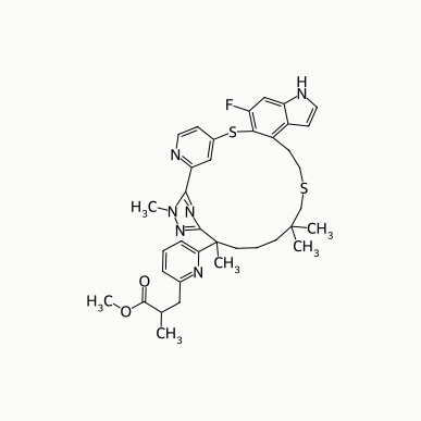 COC(=O)C(C)Cc1cccc(C2(C)CCCC(C)(C)CSCCc3c(c(F)cc4[nH]ccc34)Sc3ccnc(c3)-c3nc2nn3C)n1